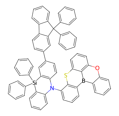 c1ccc(C2(c3ccccc3)c3ccccc3-c3ccc(-c4ccc5c(c4)[Si](c4ccccc4)(c4ccccc4)c4ccccc4N5c4cccc5c4Sc4cccc6c4B5c4ccccc4O6)cc32)cc1